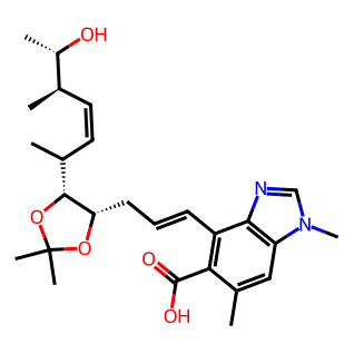 Cc1cc2c(ncn2C)c(/C=C/C[C@@H]2OC(C)(C)O[C@@H]2C(C)/C=C\[C@@H](C)[C@H](C)O)c1C(=O)O